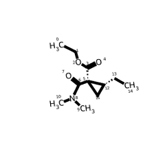 CCOC(=O)[C@@]1(C(=O)N(C)C)C[C@H]1CC